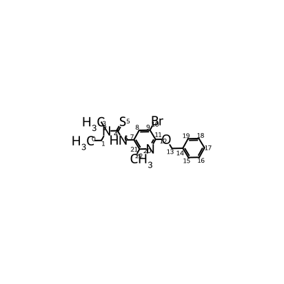 CCN(C)C(=S)Nc1cc(Br)c(OCc2ccccc2)nc1C